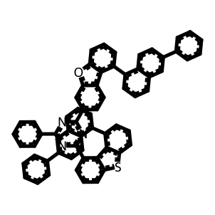 c1ccc(-c2ccc3c(-c4cccc5oc6cc(-c7nc(-c8ccccc8)nc(-c8cccc9sc%10cccc(-c%11cccc%12cc(-c%13ccccc%13)ccc%11%12)c%10c89)n7)ccc6c45)cccc3c2)cc1